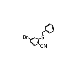 N#Cc1ccc(Br)cc1SCc1ccccc1